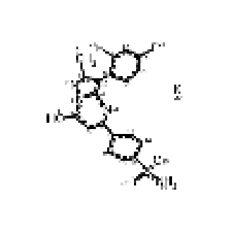 Cc1nn2c(O)cc(-c3ccc(S(N)(=O)=O)cc3)nc2c1-c1ccc(F)cc1F.[K]